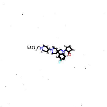 CCOC(=O)N1CCC(N2CCC3(CC2)CN(C2CCCC2=O)c2ccc(F)cc23)CC1